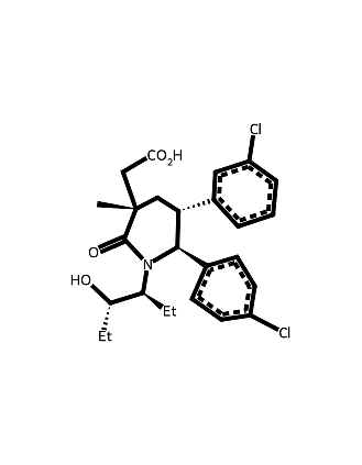 CC[C@H](O)[C@H](CC)N1C(=O)[C@](C)(CC(=O)O)C[C@H](c2cccc(Cl)c2)[C@H]1c1ccc(Cl)cc1